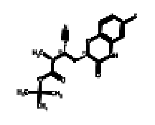 CN(C(=O)OC(C)(C)C)[C@H](C#N)C[C@@H]1Oc2ccc(F)cc2NC1=O